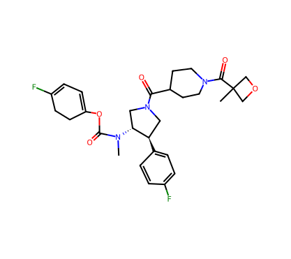 CN(C(=O)OC1=CC=C(F)CC1)[C@@H]1CN(C(=O)C2CCN(C(=O)C3(C)COC3)CC2)C[C@H]1c1ccc(F)cc1